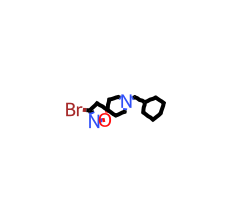 BrC1=NOC2(CCN(CC3CCCCC3)CC2)C1